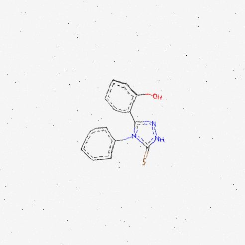 Oc1ccccc1-c1n[nH]c(=S)n1-c1ccccc1